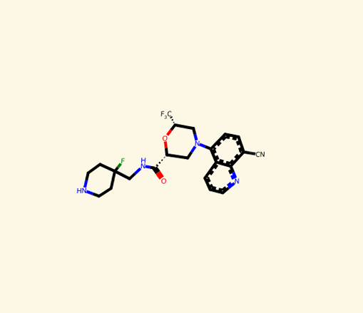 N#Cc1ccc(N2C[C@@H](C(F)(F)F)O[C@@H](C(=O)NCC3(F)CCNCC3)C2)c2cccnc12